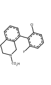 O=C(O)N1CCc2cccc(-c3c(F)cccc3Cl)c2C1